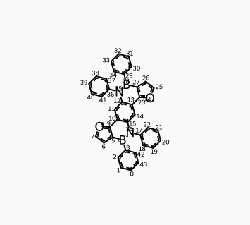 c1ccc(B2c3ccoc3-c3cc4c(cc3N2c2ccccc2)-c2occc2B(c2ccccc2)N4c2ccccc2)cc1